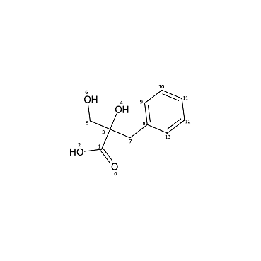 O=C(O)C(O)(CO)Cc1ccccc1